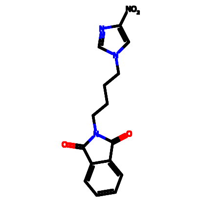 O=C1c2ccccc2C(=O)N1CCCCn1cnc([N+](=O)[O-])c1